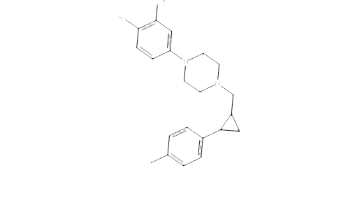 COc1cc(N2CCN(CC3CC3c3ccc(C)cc3)CC2)ccc1Br